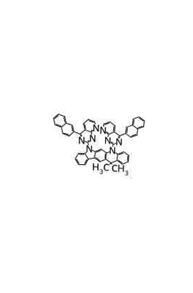 CC1(C)c2ccccc2N(c2nc(-c3ccc4ccccc4c3)c3cccnc3n2)c2cc3c(cc21)c1ccccc1n3-c1nc(-c2ccc3ccccc3c2)c2cccnc2n1